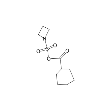 O=C(OS(=O)(=O)N1CCC1)C1CCCCC1